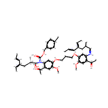 C/C=C/C(=C/C)CC(C)/C=N\c1cc(OCCCOc2cc(N(C(=O)OCc3ccc(C)cc3)[C@@H](O)[C@@H](C)CC(/C=C/C)=C\C)c(C(C)=O)cc2OC)c(OC)cc1C(C)=O